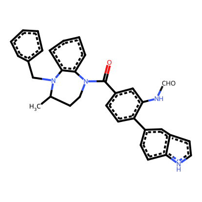 CC1CCN(C(=O)c2ccc(-c3ccc4[nH]ccc4c3)c(NC=O)c2)c2ccccc2N1Cc1ccccc1